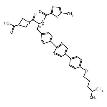 Cc1ccc(C(=O)N[C@@H](Cc2ccc(-c3ncc(-c4ccc(OCCCC(C)C)cc4)cn3)cc2)C(=O)N2CC(C(=O)O)C2)s1